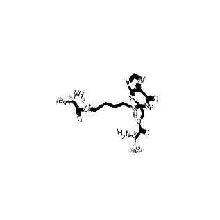 CC[C@H](C)[C@H](N)C(=O)OCCCCNC1(COC(=O)[C@@H](N)[C@@H](C)CC)N=C2N=CN=C2C(=O)N1